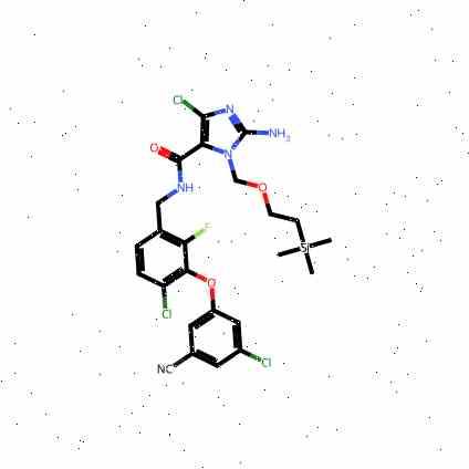 C[Si](C)(C)CCOCn1c(N)nc(Cl)c1C(=O)NCc1ccc(Cl)c(Oc2cc(Cl)cc(C#N)c2)c1F